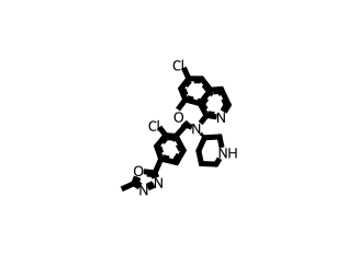 Cc1nnc(-c2ccc(C(=O)N(c3nccc4cc(Cl)cc(C)c34)[C@@H]3CCCNC3)c(Cl)c2)o1